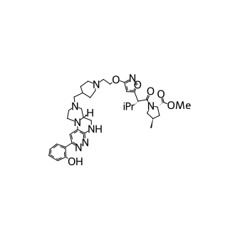 COC(=O)[C@@H]1C[C@@H](C)CN1C(=O)[C@@H](c1cc(OCCN2CCC(CN3CCN4c5cc(-c6ccccc6O)nnc5NC[C@H]4C3)CC2)no1)C(C)C